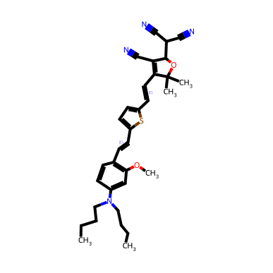 CCCCN(CCCC)c1ccc(/C=C/c2ccc(/C=C/C3=C(C#N)C(C(C#N)C#N)OC3(C)C)s2)c(OC)c1